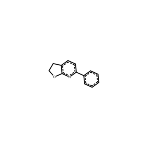 c1ccc(-c2ccc3c(n2)OCC3)cc1